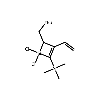 C=CC1=C([Si](C)(C)C)[Si](Cl)(Cl)C1CC(C)(C)C